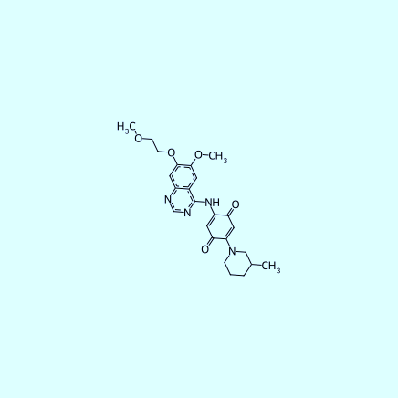 COCCOc1cc2ncnc(NC3=CC(=O)C(N4CCCC(C)C4)=CC3=O)c2cc1OC